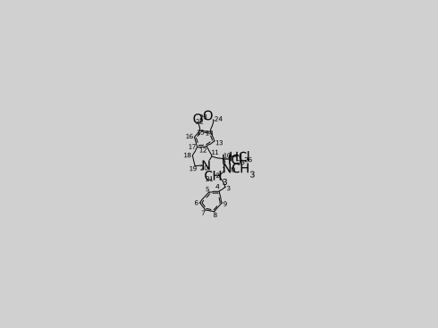 CN(CCc1ccccc1)CC1c2cc3c(cc2CCN1C)OOC3.Cl.Cl